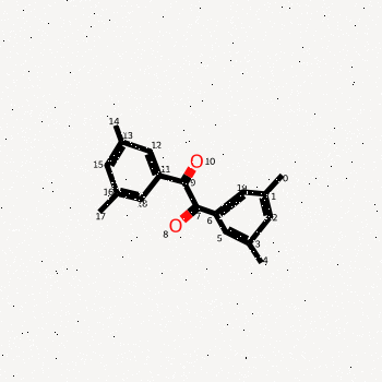 Cc1cc(C)cc(C(=O)C(=O)c2cc(C)cc(C)c2)c1